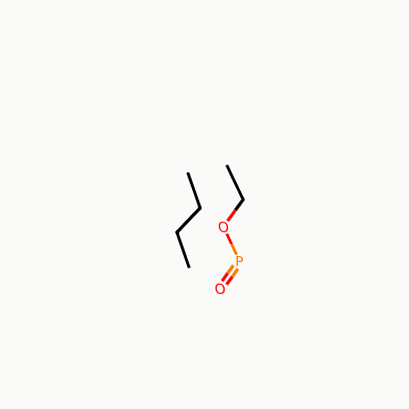 CCCC.CCOP=O